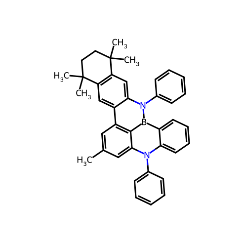 Cc1cc2c3c(c1)N(c1ccccc1)c1ccccc1B3N(c1ccccc1)c1cc3c(cc1-2)C(C)(C)CCC3(C)C